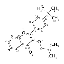 CC(C)COc1c(-c2ccc(C(C)(C)C)cc2)oc2ccccc2c1=O